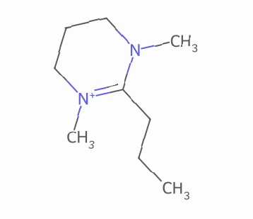 CCCC1=[N+](C)CCCN1C